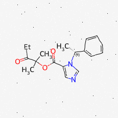 CCC(=O)C(C)(C)OC(=O)c1cncn1[C@H](C)c1ccccc1